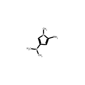 CN(C)c1cc(N)n(C)c1